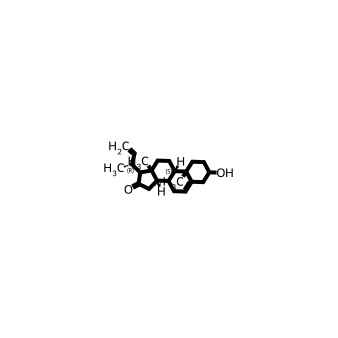 C=C[C@@H](C)C1C(=O)C[C@H]2C3CC=C4CC(O)CCC4(C)[C@H]3CCC12C